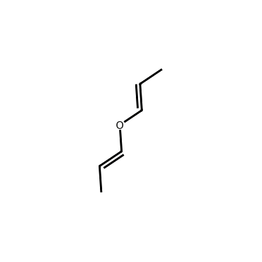 CC=COC=CC